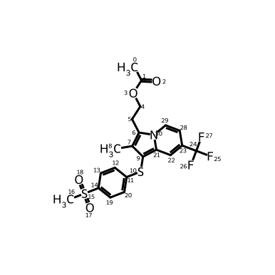 CC(=O)OCCc1c(C)c(Sc2ccc(S(C)(=O)=O)cc2)c2cc(C(F)(F)F)ccn12